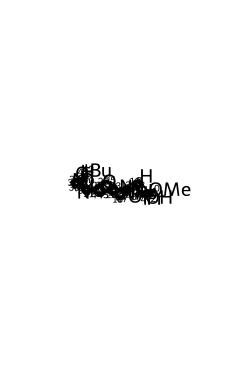 COC(O)N[C@H](C(=O)N1CCC[C@H]1c1nc2c([nH]1)CCc1cc3c(cc1-2)OCc1cc(-c2cnc([C@@H]4CCCN4C(=O)OC(C)(C)C)[nH]2)ccc1-3)C(C)C